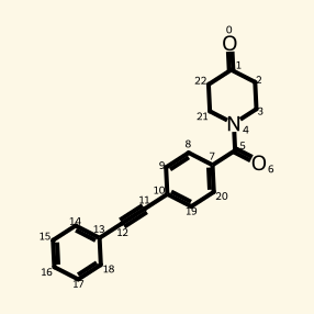 O=C1CCN(C(=O)c2ccc(C#Cc3ccccc3)cc2)CC1